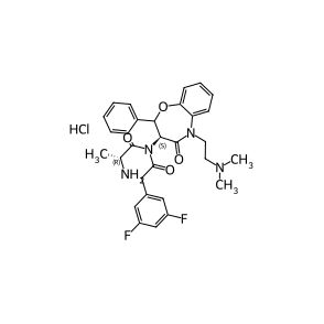 C[C@@H](N)C(=O)N(C(=O)Cc1cc(F)cc(F)c1)[C@@H]1C(=O)N(CCN(C)C)c2ccccc2OC1c1ccccc1.Cl